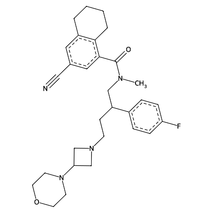 CN(CC(CCN1CC(N2CCOCC2)C1)c1ccc(F)cc1)C(=O)c1cc(C#N)cc2c1CCCC2